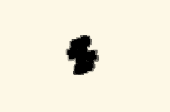 Cc1cc(-c2c3ccc(N4c5ccccc5Cc5ccccc54)cc3c(-c3cc(C)c(C)c(C)c3)c3ccc(N4c5ccccc5Cc5ccccc54)cc23)cc(C)c1C